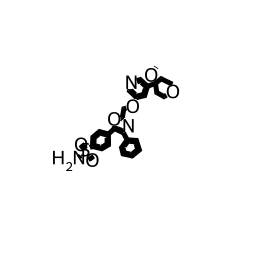 COC1(c2cncc(OCc3nc(-c4ccccc4)c(-c4ccc(S(N)(=O)=O)cc4)o3)c2)CCOCC1